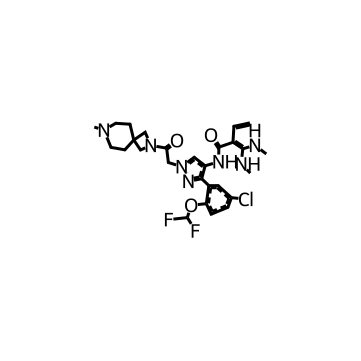 C=CC(C(=O)Nc1cn(CC(=O)N2CC3(CCN(C)CC3)C2)nc1-c1cc(Cl)ccc1OC(F)F)=C(NC)NC